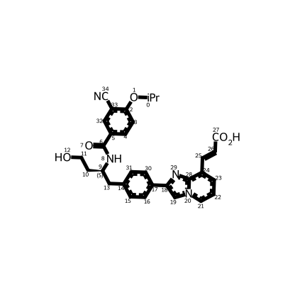 CC(C)Oc1ccc(C(=O)N[C@H](CCO)Cc2ccc(-c3cn4cccc(C=CC(=O)O)c4n3)cc2)cc1C#N